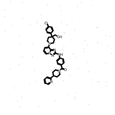 O=C(c1ccc(Nc2nc3c(N4CCC(CO)(c5ccc(Cl)cc5)CC4)cccn3n2)cc1)N1CCC(c2ccccn2)CC1